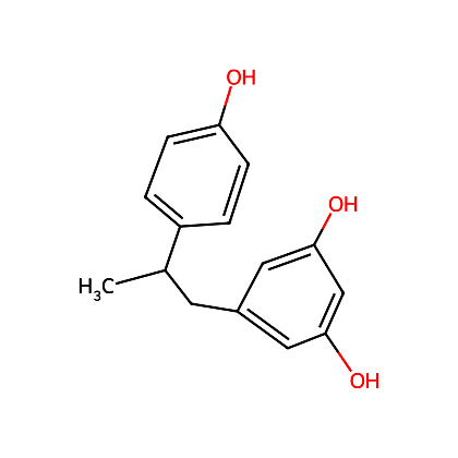 CC(Cc1cc(O)cc(O)c1)c1ccc(O)cc1